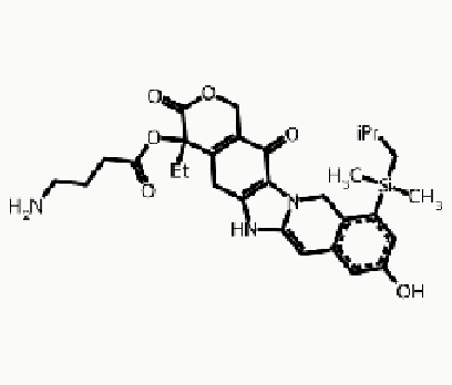 CCC1(OC(=O)CCCN)C(=O)OCC2=C1CC1=C(C2=O)N2Cc3c(cc(O)cc3[Si](C)(C)CC(C)C)C=C2N1